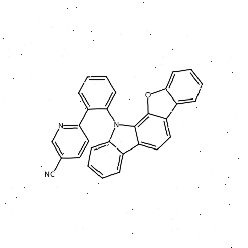 N#Cc1ccc(-c2ccccc2-n2c3ccccc3c3ccc4c5ccccc5oc4c32)nc1